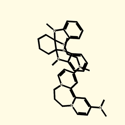 CN(C)C1=CC2=C3C=C(N(C)CCN4c5ccccc5N(C)C45CCCCC54N(C)c5ccccc5N4C)C=CN3CCCN2C=C1